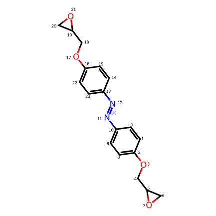 c1cc(OCC2CO2)ccc1/N=N/c1ccc(OCC2CO2)cc1